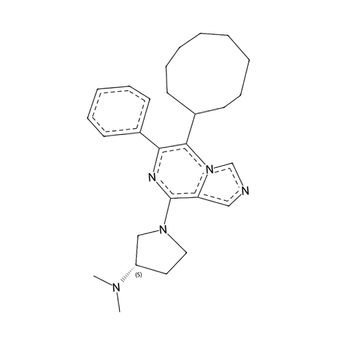 CN(C)[C@H]1CCN(c2nc(-c3ccccc3)c(C3CCCCCCCC3)n3cncc23)C1